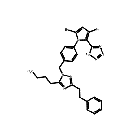 CCCCc1nc(CCc2ccccc2)nn1Cc1ccc(-n2c(Br)cc(Br)c2-c2nnn[nH]2)cc1